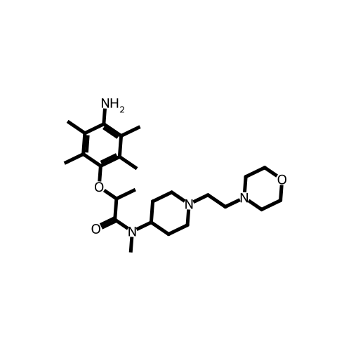 Cc1c(C)c(OC(C)C(=O)N(C)C2CCN(CCN3CCOCC3)CC2)c(C)c(C)c1N